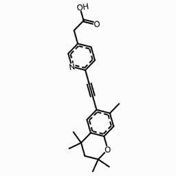 Cc1cc2c(cc1C#Cc1ccc(CC(=O)O)cn1)C(C)(C)CC(C)(C)O2